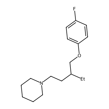 CCC(CCN1CCCCC1)COc1ccc(F)cc1